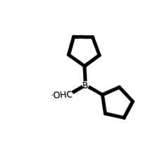 O=[C]B(C1CCCC1)C1CCCC1